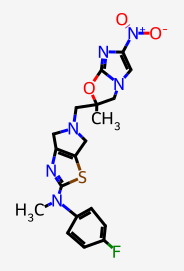 CN(c1ccc(F)cc1)c1nc2c(s1)CN(CC1(C)Cn3cc([N+](=O)[O-])nc3O1)C2